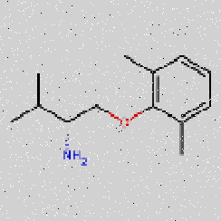 Cc1cccc(C)c1OC[C@H](N)C(C)C